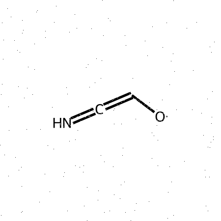 N=C=C[O]